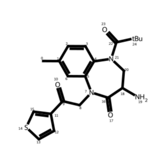 Cc1ccc2c(c1)N(CC(=O)c1ccsc1)C(=O)C(N)CN2C(=O)C(C)(C)C